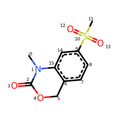 CN1C(=O)OCc2ccc(S(C)(=O)=O)cc21